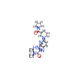 CCN(CC)C(=O)c1nc2ccc(N3CCC[C@@H](C(=O)N4CCCC4)C3)nc2[nH]1